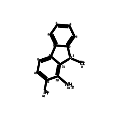 CCp1c2ccccc2c2ccc(C(C)C)c(N)c21